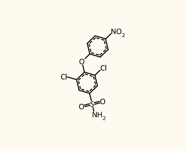 NS(=O)(=O)c1cc(Cl)c(Oc2ccc([N+](=O)[O-])cc2)c(Cl)c1